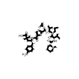 CCCN(C(=O)[C@@H](NC(=O)[C@H]1CCCCN1C)C(C)C)[C@H](C[C@@H](OC(C)=O)c1nc(C(=O)N[C@@H](Cc2ccc(N)cc2)CC(C)(C)C(=O)O)cs1)C(C)C